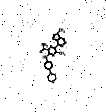 Cc1nc(Nc2ccc(N3CCOCC3)cc2)c(C(N)=O)nc1-c1nncc2c1ncn2C